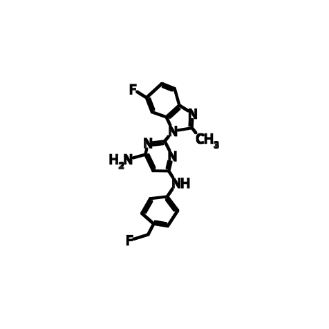 Cc1nc2ccc(F)cc2n1-c1nc(N)cc(Nc2ccc(CF)cc2)n1